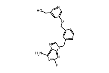 Nc1nc(F)nc2c1ncn2Cc1cccc(COc2cncc(CO)c2)c1